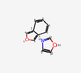 c1ccc2cocc2c1.c1cocn1